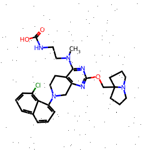 CN(CCNC(=O)O)c1nc(OCC23CCCN2CCC3)nc2c1CCN(c1cccc3cccc(Cl)c13)C2